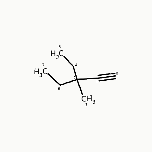 [C]#CC(C)(CC)CC